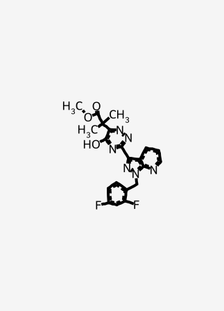 COC(=O)C(C)(C)c1nnc(-c2nn(Cc3ccc(F)cc3F)c3ncccc23)nc1O